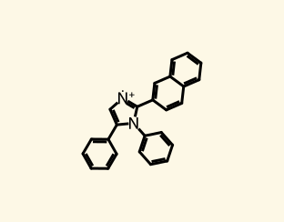 C1=C(c2ccccc2)N(c2ccccc2)C(c2ccc3ccccc3c2)=[N+]1